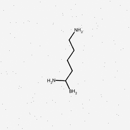 BC(N)CCCCN